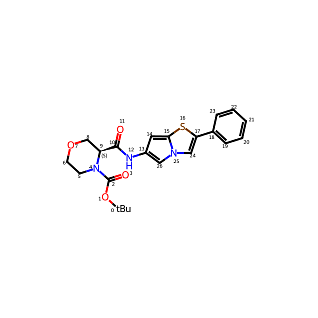 CC(C)(C)OC(=O)N1CCOC[C@H]1C(=O)Nc1cc2sc(-c3ccccc3)cn2c1